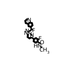 CCNC(=O)c1ccc(-c2ccc3nnc(C(F)c4ccc5ncccc5c4)n3n2)cc1F